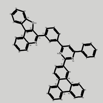 c1ccc(-c2cc(-c3cccc(-c4nc5ccccc5c5c4oc4ccccc45)c3)nc(-c3ccc4c5ccccc5c5ccccc5c4c3)n2)cc1